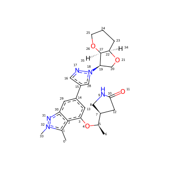 Cc1c2c(O[C@H](C)[C@H]3CNC(=O)C3)cc(-c3cnn([C@@H]4CO[C@@H]5CCCO[C@H]45)c3)cc2nn1C